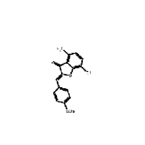 COc1ccc(/C=C2\Oc3c(C)ccc(C)c3C2=O)cc1